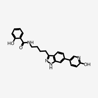 O=C(NCCCCc1n[nH]c2cc(-c3ccc(O)nc3)ccc12)c1ccccc1O